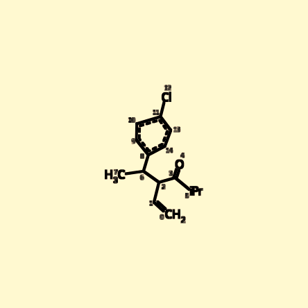 C=CC(C(=O)C(C)C)C(C)c1ccc(Cl)cc1